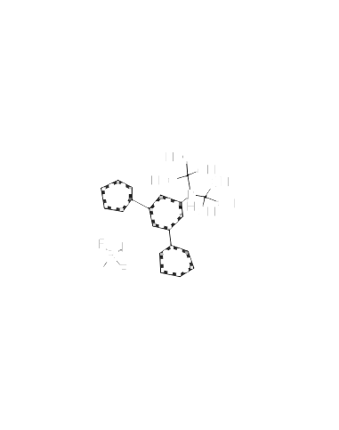 CC(C)(C)[PH+](c1cc(-c2ccccc2)cc(-c2ccccc2)c1)C(C)(C)C.F[B-](F)(F)F